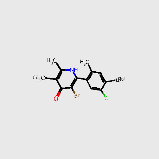 Cc1cc(C(C)(C)C)c(Cl)cc1-c1[nH]c(C)c(C)c(=O)c1Br